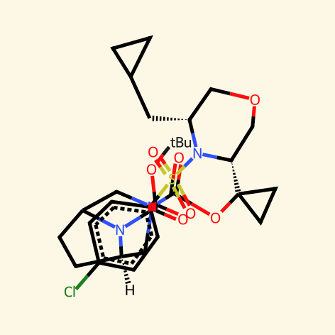 CC(C)(C)OC(=O)N1C2CC[C@@H]1CN(C(=O)OC1([C@H]3COC[C@@H](CC4CC4)N3S(=O)(=O)c3ccc(Cl)cc3)CC1)C2